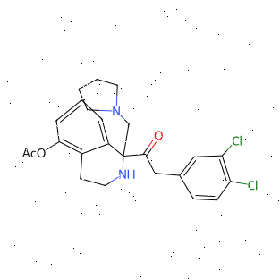 CC(=O)Oc1cccc2c1CCNC2(CN1CCCC1)C(=O)Cc1ccc(Cl)c(Cl)c1